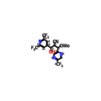 COC(c1cnc(C(F)(F)F)cn1)C(C#N)C(O)c1cc(C(F)(F)F)nc(C(F)(F)F)c1